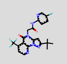 CC(C)(C)c1cc2n(CC(=O)Nc3ccc(F)cn3)c(=O)c3c(C(F)(F)F)ccnc3n2n1